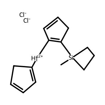 C[Si]1(C2=[C]([Hf+2][C]3=CC=CC3)C=CC2)CCC1.[Cl-].[Cl-]